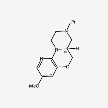 COc1cnc2c(c1)OC[C@H]1CN(C(C)C)CCN21